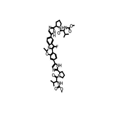 COC(=O)NC(C(=O)N1CCCC1c1ncc(-c2ccc3c(c2)OC(C)n2c-3c(F)c3cc(-c4cnc(C5CCCN5C(=O)C(NC(=O)OC)C(C)C)[nH]4)ccc32)[nH]1)C(C)C